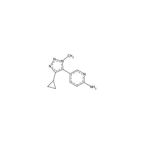 Cn1nnc(C2CC2)c1-c1ccc(N)nc1